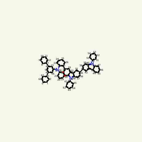 c1ccc(-c2cc(-c3ccccc3)cc(N(c3ccccc3)c3ccccc3-c3ccc4c(c3)c3cc(-c5ccc6c(c5)c5ccccc5n6-c5ccccc5)ccc3n4-c3ccccc3)c2)cc1